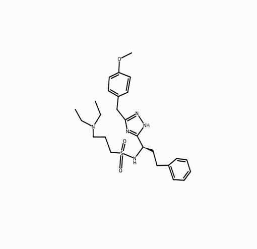 CCN(CC)CCCS(=O)(=O)N[C@H](CCc1ccccc1)c1nc(Cc2ccc(OC)cc2)n[nH]1